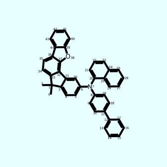 CC1(C)c2ccc(N(c3ccc(-c4ccccc4)cc3)c3cccc4ccccc34)cc2-c2c1ccc1c2oc2ccccc21